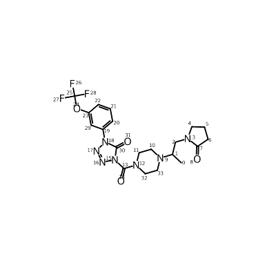 CC(CN1CCCC1=O)N1CCN(C(=O)n2nnn(-c3cccc(OC(F)(F)F)c3)c2=O)CC1